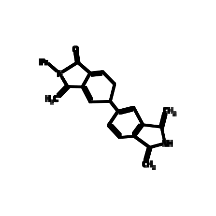 C=C1C2=CC(c3ccc4c(=C)[nH]c(=C)c4c3)CC=C2C(=O)N1C(C)C